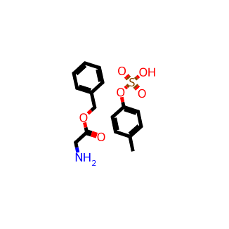 Cc1ccc(OS(=O)(=O)O)cc1.NCC(=O)OCc1ccccc1